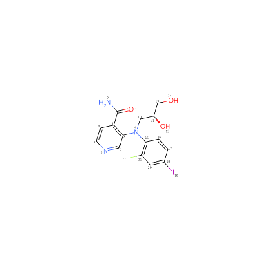 NC(=O)c1ccncc1N(C[C@H](O)CO)c1ccc(I)cc1F